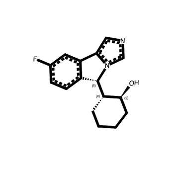 O[C@H]1CCCC[C@@H]1[C@@H]1c2ccc(F)cc2-c2cncn21